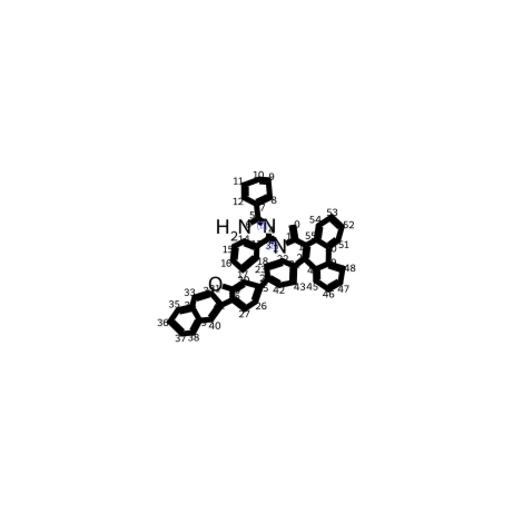 C=C(/N=C(\N=C(/N)c1ccccc1)c1ccccc1)c1c(-c2ccc(-c3ccc4c(c3)oc3cc5ccccc5cc34)cc2)c2ccccc2c2ccccc12